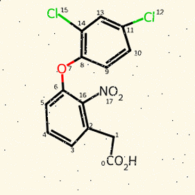 O=C(O)Cc1cccc(Oc2ccc(Cl)cc2Cl)c1[N+](=O)[O-]